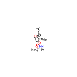 CNC(=O)C(NC(=O)O[C@@H]1CCC2(CO2)[C@@H]([C@@]2(C)CC[C@@H]2CC=C(C)C)[C@@H]1OC)C(C)C